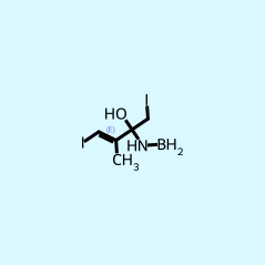 BNC(O)(CI)/C(C)=C/I